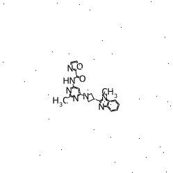 Cc1nc(NC(=O)c2ncco2)cc(N2CC(c3nc4ccccc4n3C)C2)n1